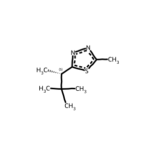 Cc1nnc([C@@H](C)C(C)(C)C)s1